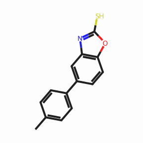 Cc1ccc(-c2ccc3oc(S)nc3c2)cc1